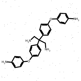 NCC(CN)(c1ccc(Oc2ccc(N)cc2)cc1)c1ccc(Oc2ccc(N)cc2)cc1